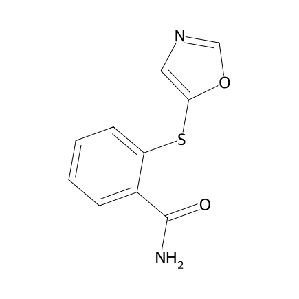 NC(=O)c1ccccc1Sc1cnco1